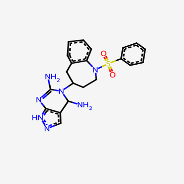 NC1=Nc2[nH]ncc2C(N)N1C1CCN(S(=O)(=O)c2ccccc2)c2ccccc2C1